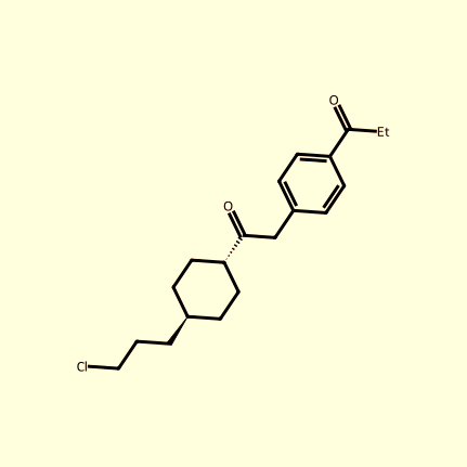 CCC(=O)c1ccc(CC(=O)[C@H]2CC[C@H](CCCCl)CC2)cc1